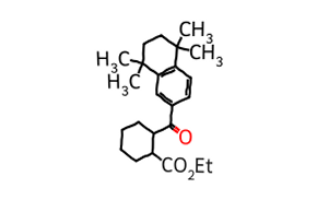 CCOC(=O)C1CCCCC1C(=O)c1ccc2c(c1)C(C)(C)CCC2(C)C